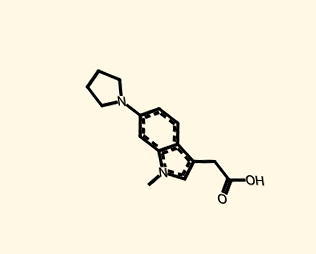 Cn1cc(CC(=O)O)c2ccc(N3CCCC3)cc21